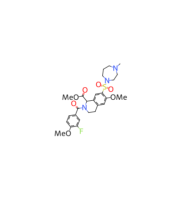 COC(=O)C1c2cc(S(=O)(=O)N3CCCN(C)CC3)c(OC)cc2CCN1C(=O)c1ccc(OC)c(F)c1